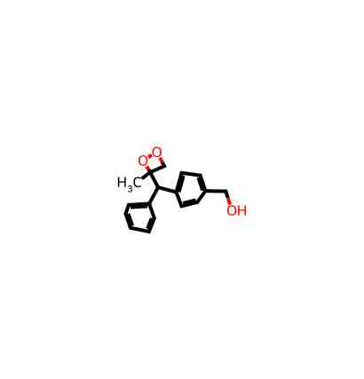 CC1(C(c2ccccc2)c2ccc(CO)cc2)COO1